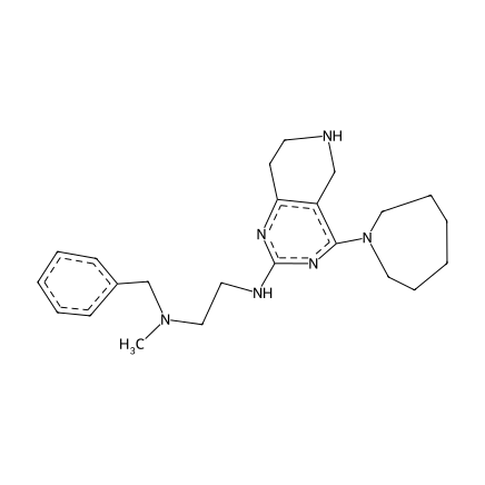 CN(CCNc1nc2c(c(N3CCCCCC3)n1)CNCC2)Cc1ccccc1